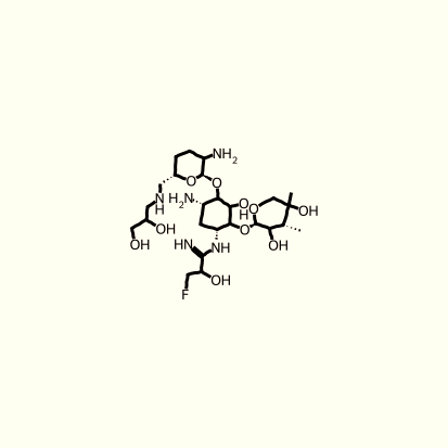 C[C@@H]1C(O)[C@@H](OC2C(O)C(O[C@H]3O[C@H](CNCC(O)CO)CCC3N)[C@@H](N)C[C@H]2NC(=N)C(O)CF)OCC1(C)O